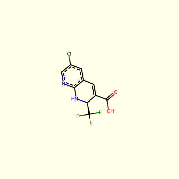 O=C(O)C1=Cc2cc(Cl)cnc2N[C@@H]1C(F)(F)F